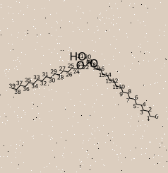 CCCCCCCCCCCCCCCCC=CO[C@@H](CO)COCCCCCCCCCCCCCCCC